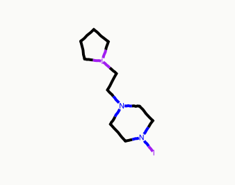 IN1CCN(CCI2CCCC2)CC1